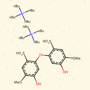 CCCC[N+](CCCC)(CCCC)CCCC.CCCC[N+](CCCC)(CCCC)CCCC.COc1cc(S(=O)(=O)O)c(Oc2cc(O)c(OC)cc2S(=O)(=O)O)cc1O